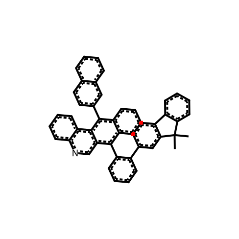 CC1(C)c2ccccc2-c2ccc(-c3ccccc3-c3c4ccccc4c(-c4ccc5ccccc5c4)c4c3cnc3ccccc34)cc21